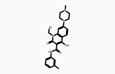 Cc1cccc(NC(=O)c2c(O)c3ccc(N4CCN(C)CC4)cc3n(CC(C)C)c2=O)c1